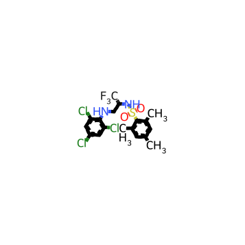 Cc1cc(C)c(S(=O)(=O)NC(CNc2c(Cl)cc(Cl)cc2Cl)C(F)(F)F)c(C)c1